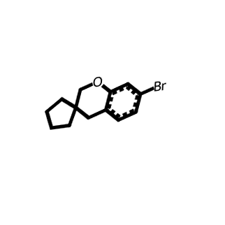 Brc1ccc2c(c1)OCC1(CCCC1)C2